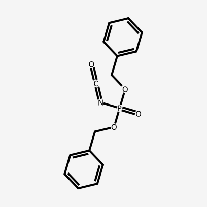 O=C=NP(=O)(OCc1ccccc1)OCc1ccccc1